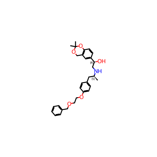 C[C@@H](Cc1ccc(OCCOCc2ccccc2)cc1)NC[C@H](O)c1ccc2c(c1)COC(C)(C)O2